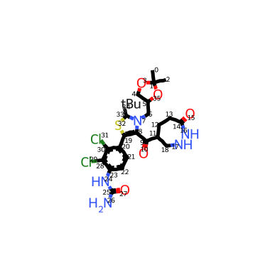 CC1(C)OCC(CN2C(C(=O)C3CCC(=O)NNC3)=C(c3ccc(NC(N)=O)c(Cl)c3Cl)SC2C(C)(C)C)O1